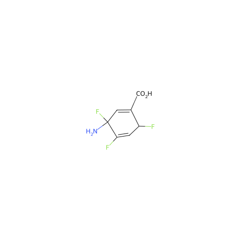 NC1(F)C=C(C(=O)O)C(F)C=C1F